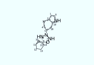 c1cc2ccc(N3NO[C@@]4(CC5CCC4CC5)N3)cc2[nH]1